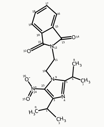 CC(C)c1nc(C(C)C)n(CCN2C(=O)c3ccccc3C2=O)c1[N+](=O)[O-]